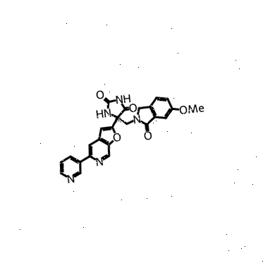 COc1ccc2c(c1)C(=O)N(C[C@@]1(c3cc4cc(-c5cccnc5)ncc4o3)NC(=O)NC1=O)C2